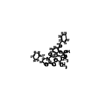 CC(C)O[C@H](C(=O)N1C(=O)OC[C@@H]1Cc1ccccc1)[C@H](CS(=O)(=O)O)c1cccc(OCc2ccccc2)c1